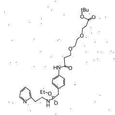 CCOP(=O)(Cc1ccc(NC(=O)CCOCCOCCC(=O)OC(C)(C)C)cc1)NCCc1ccccn1